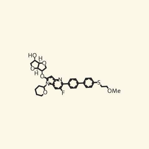 COCCSc1ccc(-c2ccc(-c3nc4cc(O[C@@H]5CO[C@H]6[C@@H]5OC[C@H]6O)n(C5CCCCO5)c4cc3F)cc2)cc1